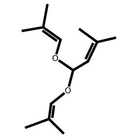 CC(C)=COC(C=C(C)C)OC=C(C)C